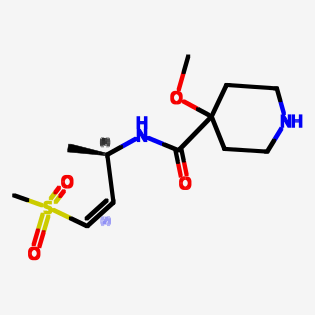 COC1(C(=O)N[C@H](C)/C=C\S(C)(=O)=O)CCNCC1